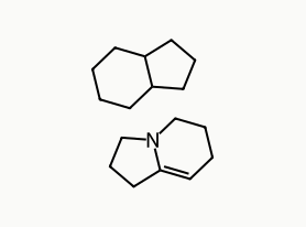 C1=C2CCCN2CCC1.C1CCC2CCCC2C1